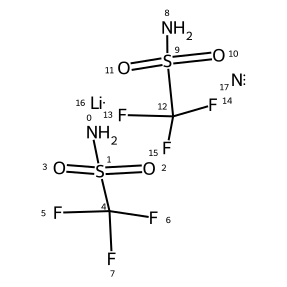 NS(=O)(=O)C(F)(F)F.NS(=O)(=O)C(F)(F)F.[Li].[N]